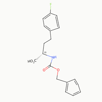 O=C(N[C@@H](CCc1ccc(F)cc1)C(=O)O)OCc1ccccc1